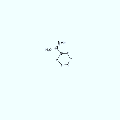 CNN(C)N1CCCCC1